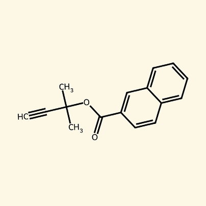 C#CC(C)(C)OC(=O)c1ccc2ccccc2c1